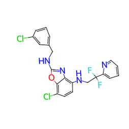 FC(F)(CNc1ccc(Cl)c2oc(NCc3cccc(Cl)c3)nc12)c1ccccn1